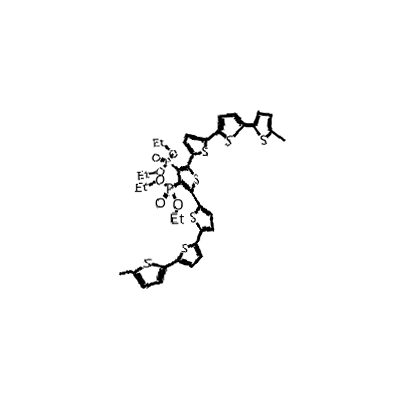 CCOP(=O)(OCC)c1c(-c2ccc(-c3ccc(-c4ccc(C)s4)s3)s2)sc(-c2ccc(-c3ccc(-c4ccc(C)s4)s3)s2)c1P(=O)(OCC)OCC